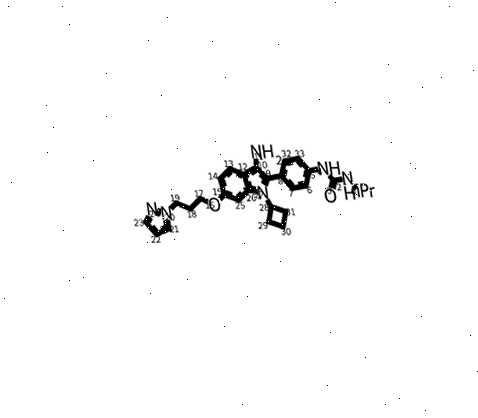 CC(C)NC(=O)Nc1ccc(-c2c(N)c3ccc(OCCCn4cccn4)cc3n2C2CCC2)cc1